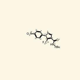 CC(C)(C)NC(=O)c1cnn(-c2ccc([N+](=O)[O-])cc2)c1C(F)(F)F